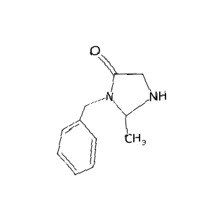 CC1NCC(=O)N1Cc1ccccc1